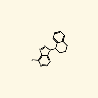 Clc1ncnc2c1nnn2C1CCCc2ccccc21